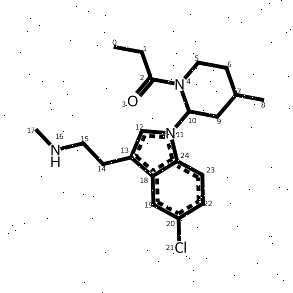 CCC(=O)N1CCC(C)CC1n1cc(CCNC)c2cc(Cl)ccc21